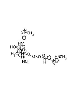 CNc1ccc2ncc(-c3cccc(NC(=O)COCCOCCOCC(=O)N[C@H](C(=O)N4C[C@H](O)C[C@H]4C(=O)NCc4ccc(-c5scnc5C)cc4)C(C)(C)C)c3)n2c1.Cl